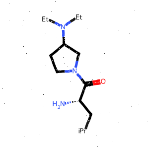 CCN(CC)C1CCN(C(=O)[C@@H](N)CC(C)C)C1